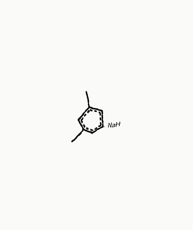 Cc1c[c]cc(C)c1.[NaH]